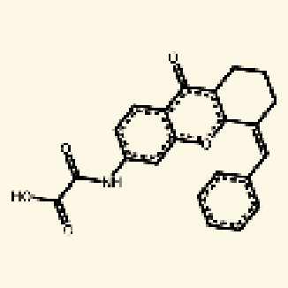 O=C(O)C(=O)Nc1ccc2c(=O)c3c(oc2c1)/C(=C\c1ccccc1)CCC3